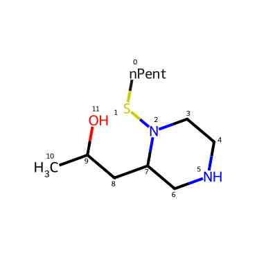 CCCCCSN1CCNCC1CC(C)O